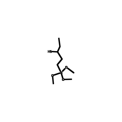 CCC(S)CC[Si](OC)(OC)OC